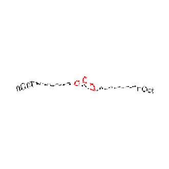 CCCCCCCCC=CCCCCCCCCOCC(=O)COCCCCCCCCC=CCCCCCCCC